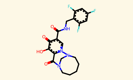 O=C(NCc1c(F)cc(F)cc1F)c1cn2c(c(O)c1=O)C(=O)N1CCCCCN2C1